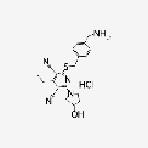 CCc1c(C#N)c(SCc2ccc(CN)cc2)nc(N2CCC(O)C2)c1C#N.Cl